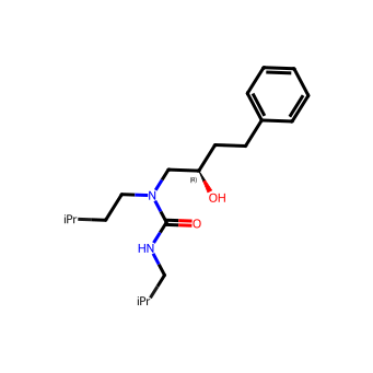 CC(C)CCN(C[C@H](O)CCc1ccccc1)C(=O)NCC(C)C